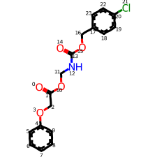 O=C(COc1ccccc1)OCNC(=O)OCc1ccc(Cl)cc1